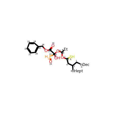 CCCCCCCCCCCC(CCCCCCC)CC(S)OC(CC)OC(O)([PH2]=O)C(=O)OCc1ccccc1